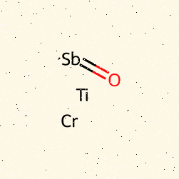 [Cr].[O]=[Sb].[Ti]